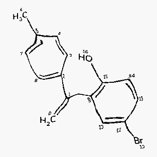 C=C(c1ccc(C)cc1)c1cc(Br)ccc1O